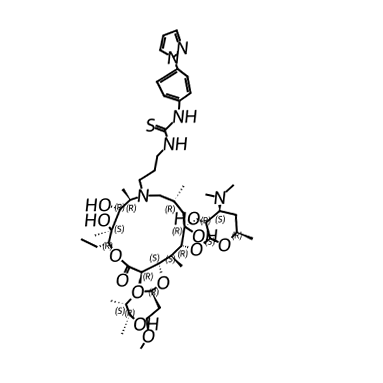 CC[C@H]1OC(=O)[C@H](C)[C@@H](O[C@@H](CCOC)O[C@@H](C)[C@@H](C)O)[C@H](C)[C@@H](O[C@@H]2O[C@H](C)C[C@H](N(C)C)[C@H]2O)[C@](C)(O)C[C@@H](C)CN(CCCNC(=S)Nc2ccc(-n3cccn3)cc2)[C@H](C)[C@@H](O)[C@]1(C)O